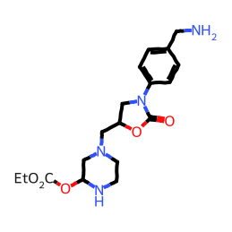 CCOC(=O)OC1CN(CC2CN(c3ccc(CN)cc3)C(=O)O2)CCN1